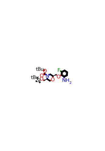 CC(C)(C)OC(=O)N1C[C@@H](COc2c(N)cccc2F)OC[C@H]1CO[Si](C)(C)C(C)(C)C